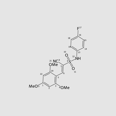 COc1cc(OC)c(C=C(C#N)S(=O)(=O)Nc2ccc(F)cc2)c(OC)c1